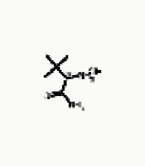 CC(C)(C)[C@@H](N)C(N)=O.Cl